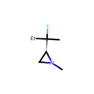 CCC(C)(F)[C@H]1CN1C